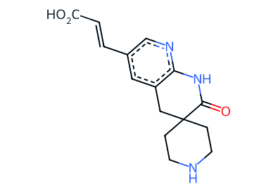 O=C(O)C=Cc1cnc2c(c1)CC1(CCNCC1)C(=O)N2